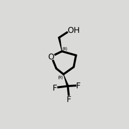 OC[C@H]1CC[C@@H](C(F)(F)F)CO1